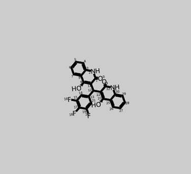 O=c1[nH]c2ccccc2c(O)c1C(c1cc(F)c(F)c(F)c1)c1c(O)c2ccccc2[nH]c1=O